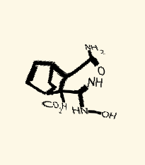 N=C(NO)C1(C(=O)O)C2C=CC(C2)C1C(N)=O